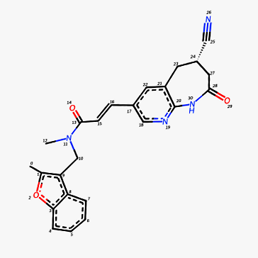 Cc1oc2ccccc2c1CN(C)C(=O)/C=C/c1cnc2c(c1)C[C@H](C#N)CC(=O)N2